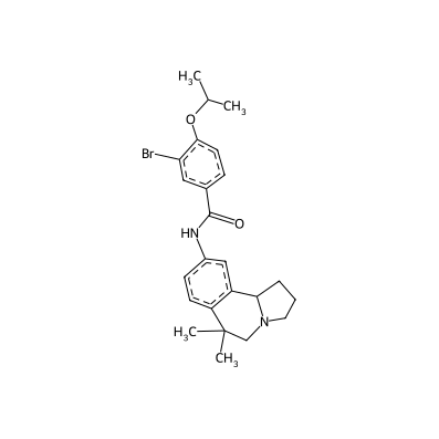 CC(C)Oc1ccc(C(=O)Nc2ccc3c(c2)C2CCCN2CC3(C)C)cc1Br